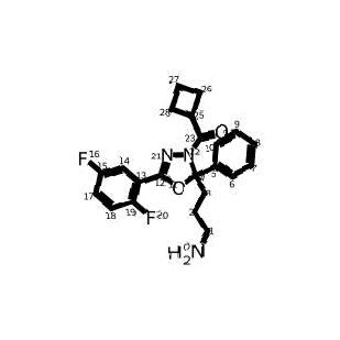 NCCCC1(c2ccccc2)OC(c2cc(F)ccc2F)=NN1C(=O)C1CCC1